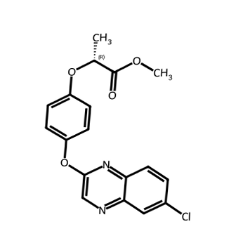 COC(=O)[C@@H](C)Oc1ccc(Oc2cnc3cc(Cl)ccc3n2)cc1